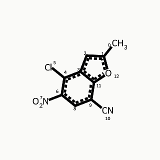 Cc1cc2c(Cl)c([N+](=O)[O-])cc(C#N)c2o1